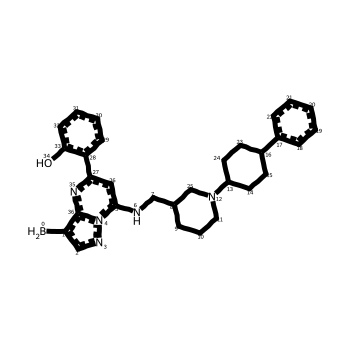 Bc1cnn2c(NCC3CCCN(C4CCC(c5ccccc5)CC4)C3)cc(-c3ccccc3O)nc12